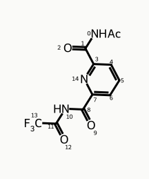 CC(=O)NC(=O)c1cccc(C(=O)NC(=O)C(F)(F)F)n1